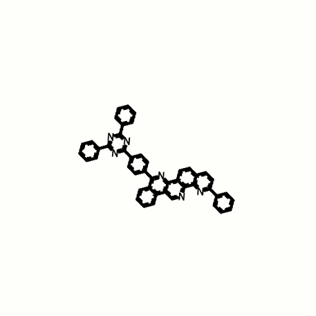 c1ccc(-c2ccc3ccc4c5nc(-c6ccc(-c7nc(-c8ccccc8)nc(-c8ccccc8)n7)cc6)c6ccccc6c5cnc4c3n2)cc1